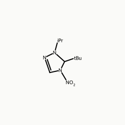 CC(C)N1N=CN([N+](=O)[O-])C1C(C)(C)C